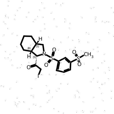 CS(=O)(=O)c1cccc(S(=O)(=O)N2C[C@H]3CCCC[C@H]3[C@H]2C(=O)CI)c1